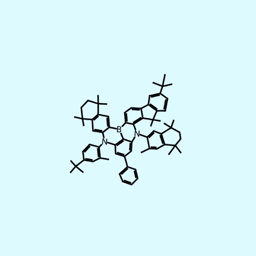 Cc1cc(C(C)(C)C)ccc1N1c2cc3c(cc2B2c4ccc5c(c4N(c4cc6c(cc4C)C(C)(C)CCC6(C)C)c4cc(-c6ccccc6)cc1c42)C(C)(C)c1ccc(C(C)(C)C)cc1-5)C(C)(C)CCC3(C)C